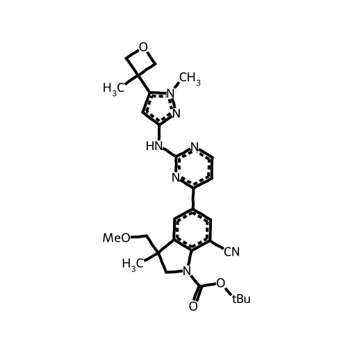 COCC1(C)CN(C(=O)OC(C)(C)C)c2c(C#N)cc(-c3ccnc(Nc4cc(C5(C)COC5)n(C)n4)n3)cc21